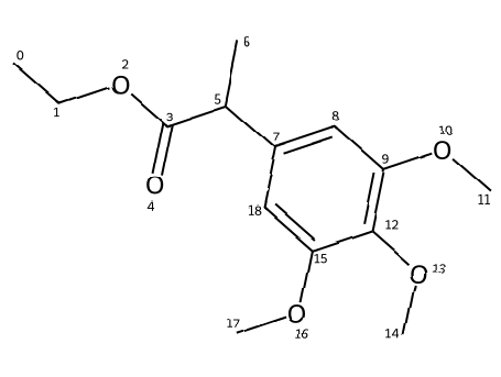 CCOC(=O)C(C)c1cc(OC)c(OC)c(OC)c1